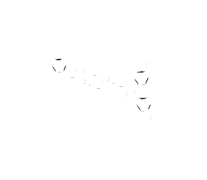 [O-][S+](CCNC1CCN(CC(O)Cc2ccccc2)CC1)C(c1ccc(F)cc1)c1ccc(F)cc1